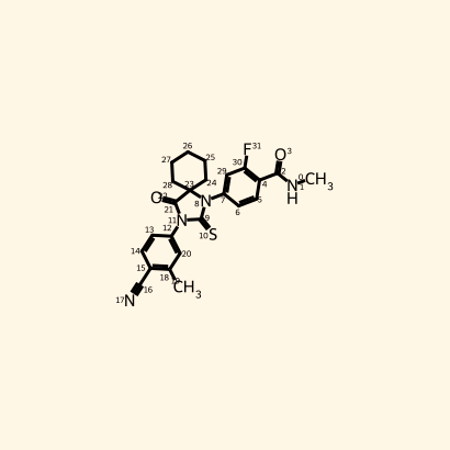 CNC(=O)c1ccc(N2C(=S)N(c3ccc(C#N)c(C)c3)C(=O)C23CCCCC3)cc1F